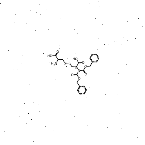 NC(CSSC[C@@H](C(=O)O)N(C(=O)OCc1ccccc1)C(=O)OCc1ccccc1)C(=O)O